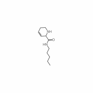 CCCCCNC(=O)C1C=CCCN1